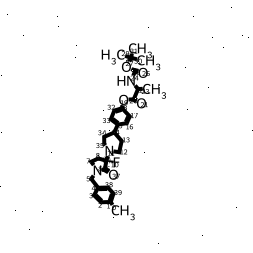 Cc1ccc(CN2CC[C@](F)(N3CCC(c4ccc(OC(=O)C(C)NC(=O)OC(C)(C)C)cc4)CC3)C2=O)cc1